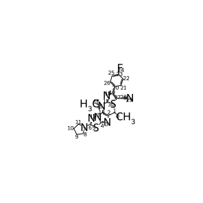 CCc1nc2sc(N3CCCC3)nn2c1N(C)c1nc(-c2ccc(F)cc2)c(C#N)s1